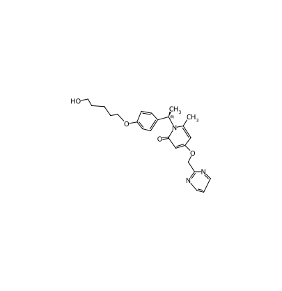 Cc1cc(OCc2ncccn2)cc(=O)n1[C@H](C)c1ccc(OCCCCCO)cc1